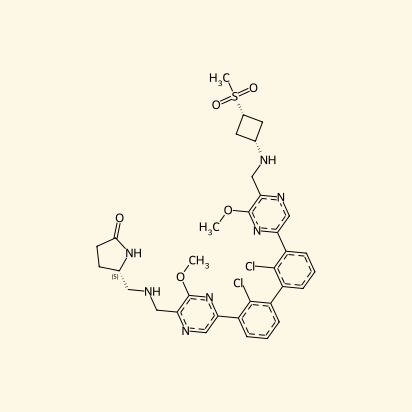 COc1nc(-c2cccc(-c3cccc(-c4cnc(CN[C@H]5C[C@@H](S(C)(=O)=O)C5)c(OC)n4)c3Cl)c2Cl)cnc1CNC[C@@H]1CCC(=O)N1